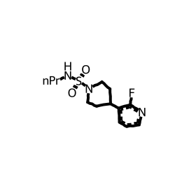 CCCNS(=O)(=O)N1CCC(c2cccnc2F)CC1